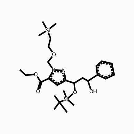 CCOC(=O)c1cc(C(CC(O)c2ccccc2)O[Si](C)(C)C(C)(C)C)nn1COCC[Si](C)(C)C